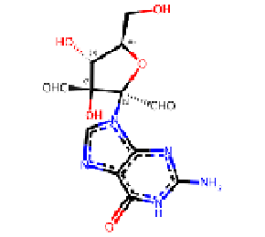 Nc1nc2c(ncn2[C@]2(C=O)O[C@H](CO)[C@@H](O)[C@]2(O)C=O)c(=O)[nH]1